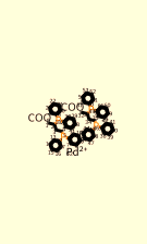 O=C([O-])CC(CCP(c1ccccc1)c1ccccc1)P(c1ccccc1)c1ccccc1.O=C([O-])CC(CCP(c1ccccc1)c1ccccc1)P(c1ccccc1)c1ccccc1.[Pd+2]